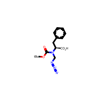 CC(C)(C)OC(=O)N(CN=[N+]=[N-])[C@@H](Cc1ccccc1)C(=O)O